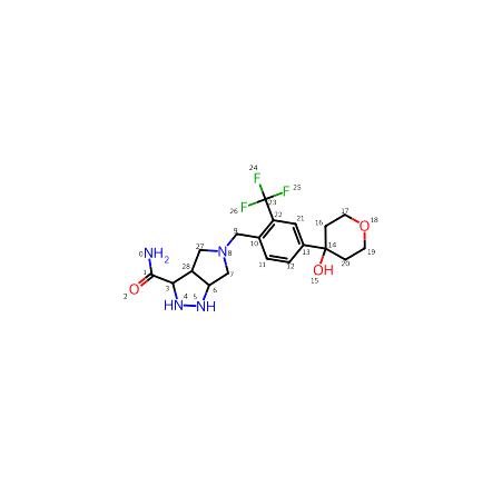 NC(=O)C1NNC2CN(Cc3ccc(C4(O)CCOCC4)cc3C(F)(F)F)CC21